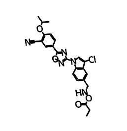 CCC(=O)ONCc1ccc2c(c1)c(Cl)cn2-c1noc(-c2ccc(OC(C)C)c(C#N)c2)n1